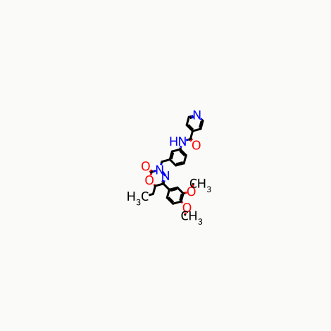 CCC1OC(=O)N(Cc2cccc(NC(=O)c3ccncc3)c2)N=C1c1ccc(OC)c(OC)c1